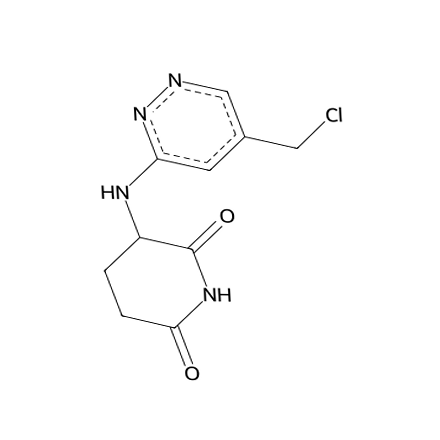 O=C1CCC(Nc2cc(CCl)cnn2)C(=O)N1